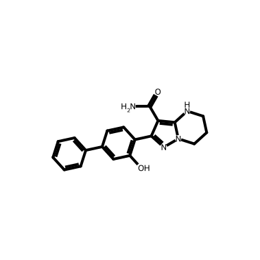 NC(=O)c1c(-c2ccc(-c3ccccc3)cc2O)nn2c1NCCC2